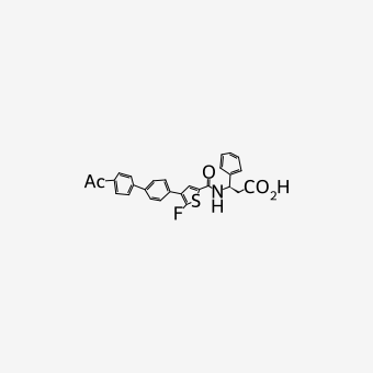 CC(=O)c1ccc(-c2ccc(-c3cc(C(=O)N[C@H](CC(=O)O)c4ccccc4)sc3F)cc2)cc1